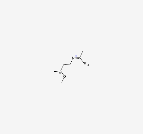 CO[C@@H](C)CC/N=C(/C)N